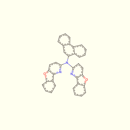 c1ccc2c(c1)cc(N(c1ccc3oc4ccccc4c3n1)c1ccc3oc4ccccc4c3n1)c1ccccc12